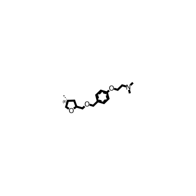 C[C@H]1COC(COCc2ccc(OCCN(C)C)cc2)C1